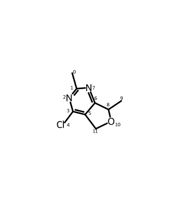 Cc1nc(Cl)c2c(n1)C(C)OC2